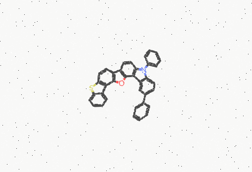 c1ccc(-c2ccc3c(c2)c2c4oc5c(ccc6sc7ccccc7c65)c4ccc2n3-c2ccccc2)cc1